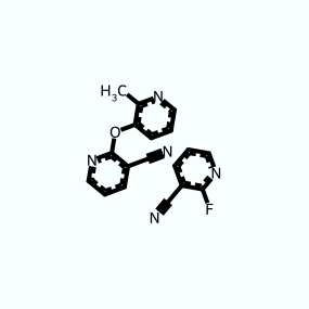 Cc1ncccc1Oc1ncccc1C#N.N#Cc1cccnc1F